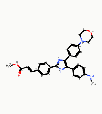 CNc1ccc(-c2[nH]c(-c3ccc(/C=C/C(=O)OC)cc3)nc2-c2ccc(N3CCOCC3)cc2)cc1